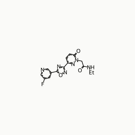 CCNC(=O)Cn1nc(-c2noc(-c3cncc(F)c3)n2)ccc1=O